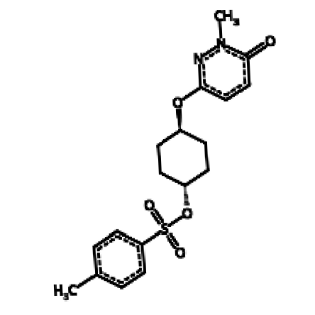 Cc1ccc(S(=O)(=O)O[C@H]2CC[C@H](Oc3ccc(=O)n(C)n3)CC2)cc1